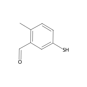 Cc1ccc(S)cc1C=O